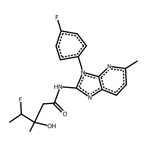 Cc1ccc2nc(NC(=O)CC(C)(O)C(C)F)n(-c3ccc(F)cc3)c2n1